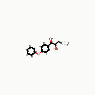 O=C(O)CC(Br)C(=O)c1ccc(Oc2ccccc2)cc1